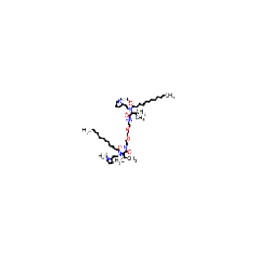 CCCCCCCCCCCC(=O)N(CCC1CCCN1C)C(C(=O)NCCOCCOCCNC(=O)C(C(C)C)N(CCC1CCCN1C)C(=O)CCCCCCCCCCC)C(C)C